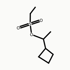 CCS(=O)(=O)OC(C)C1CCC1